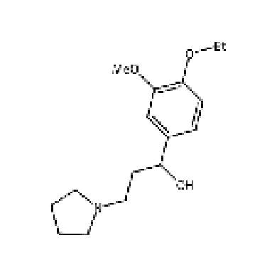 CCOc1ccc(C(O)CCN2CCCC2)cc1OC